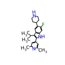 Cc1cc(-c2[nH]c3cc(F)c(C4CCNCC4)cc3c2C(C)C)cc(C)n1